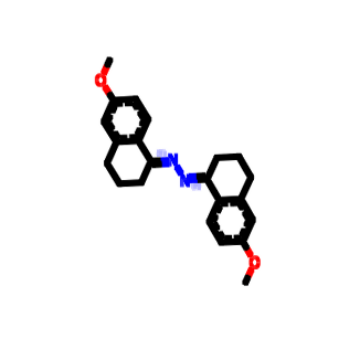 COc1ccc2c(c1)CCC/C2=N\N=C1/CCCc2cc(OC)ccc21